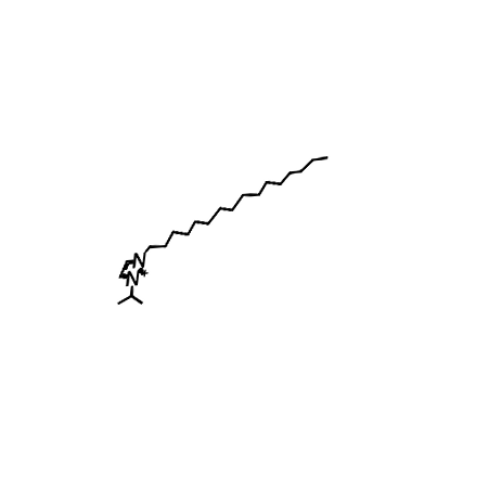 CCCCCCCCCCCCCCCCn1cc[n+](C(C)C)c1